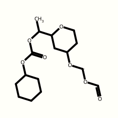 CC(OC(=O)OC1CCCCC1)C1CC(O[CH]OC=O)CCO1